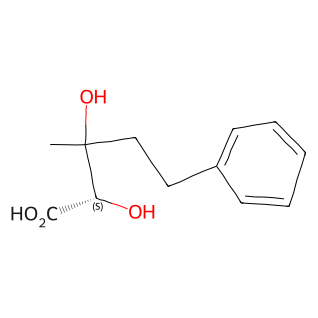 CC(O)(CCc1ccccc1)[C@H](O)C(=O)O